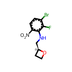 O=[N+]([O-])c1ccc(Br)c(F)c1NC[C@@H]1CCO1